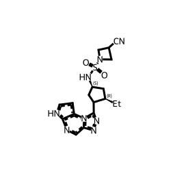 CC[C@@H]1C[C@H](NS(=O)(=O)N2CC(C#N)C2)CC1c1nnc2cnc3[nH]ccc3n12